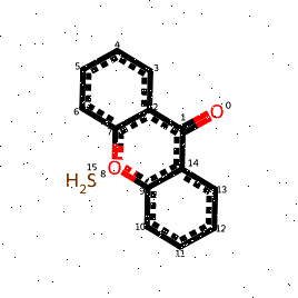 O=c1c2ccccc2oc2ccccc12.S